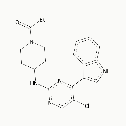 CCC(=O)N1CCC(Nc2ncc(Cl)c(-c3c[nH]c4ccccc34)n2)CC1